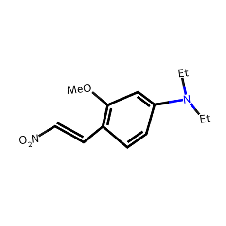 CCN(CC)c1ccc(C=C[N+](=O)[O-])c(OC)c1